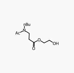 CCCCN(CCC(=O)OCCO)C(C)=O